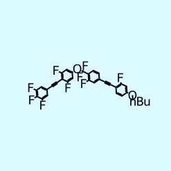 CCCCOc1ccc(C#Cc2ccc(C(F)(F)Oc3cc(F)c(C#Cc4cc(F)c(F)c(F)c4)c(F)c3)c(F)c2)c(F)c1